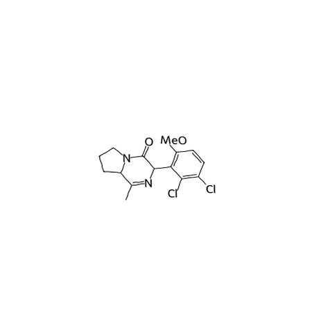 COc1ccc(Cl)c(Cl)c1C1N=C(C)C2CCCN2C1=O